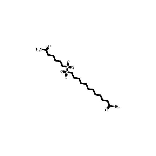 NC(=O)CCCCCCCCCCCS(=O)(=O)S(=O)(=O)CCCCCC(N)=O